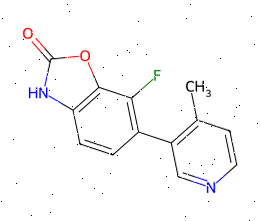 Cc1ccncc1-c1ccc2[nH]c(=O)oc2c1F